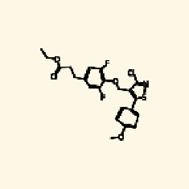 CCOC(=O)CCc1cc(F)c(OCc2c(Cl)nsc2-c2ccc(OC)cc2)c(F)c1